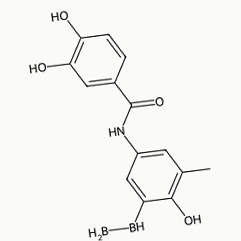 BBc1cc(NC(=O)c2ccc(O)c(O)c2)cc(C)c1O